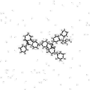 CC1(C)c2ccccc2-c2ccc(-n3c4ccc(-c5ccc6c(c5)c5ccccc5n6-c5ccccc5)cc4c4ccc(-c5ccccc5)cc43)cc21